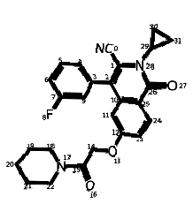 N#Cc1c(-c2cccc(F)c2)c2cc(OCC(=O)N3CCCCC3)ccc2c(=O)n1C1CC1